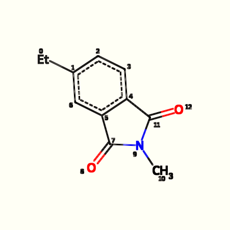 CCc1ccc2c(c1)C(=O)N(C)C2=O